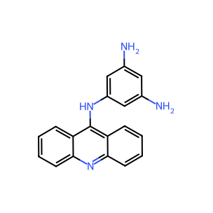 Nc1cc(N)cc(Nc2c3ccccc3nc3ccccc23)c1